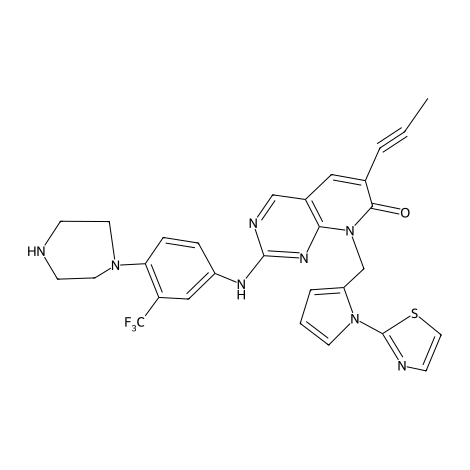 CC#Cc1cc2cnc(Nc3ccc(N4CCNCC4)c(C(F)(F)F)c3)nc2n(Cc2cccn2-c2nccs2)c1=O